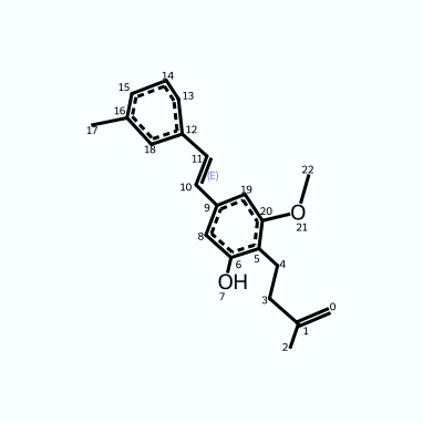 C=C(C)CCc1c(O)cc(/C=C/c2cccc(C)c2)cc1OC